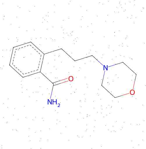 NC(=O)c1ccccc1CCCN1CCOCC1